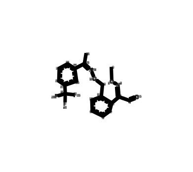 CO/N=C(/C=O)c1ccccc1CO/N=C(/C)c1cccc(C(F)(F)F)c1